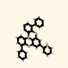 c1ccc(-c2cccc3c2Oc2cc(-c4ccccn4)cc4c2B3c2cccc(-c3ccccc3)c2O4)cc1